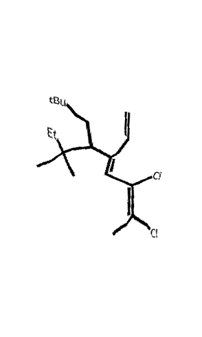 C=C/C(=C\C(Cl)=C(/C)Cl)C(CC(C)(C)C)C(C)(C)CC